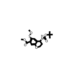 COSc1cc2c(cc1C(=O)OC)OCCC2NC(=O)OC(C)(C)C